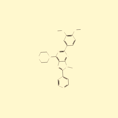 COc1ccc(-c2nc(N3CCOCC3)c3nc(-c4ccncc4)n(C)c3n2)cc1OC